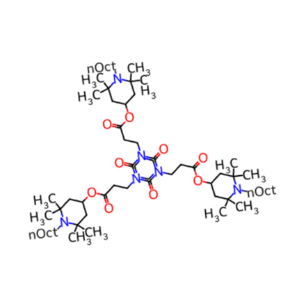 CCCCCCCCN1C(C)(C)CC(OC(=O)CCn2c(=O)n(CCC(=O)OC3CC(C)(C)N(CCCCCCCC)C(C)(C)C3)c(=O)n(CCC(=O)OC3CC(C)(C)N(CCCCCCCC)C(C)(C)C3)c2=O)CC1(C)C